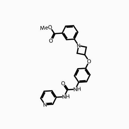 COC(=O)c1cccc(N2CC(Oc3ccc(NC(=O)Nc4cccnc4)cc3)C2)c1